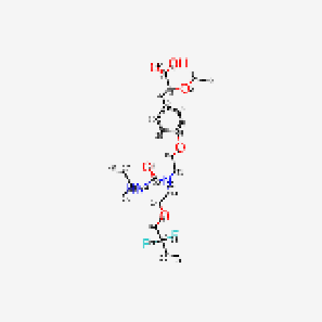 CCOC(Cc1ccc(OCCN(CCOCC(F)(F)CC)C(=O)NC(C)CC)cc1)C(=O)O